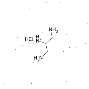 Cl.NCC(N)CN